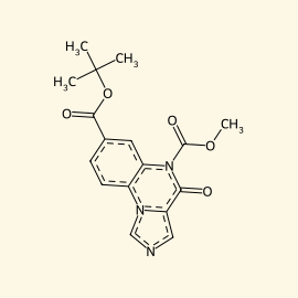 COC(=O)n1c(=O)c2cncn2c2ccc(C(=O)OC(C)(C)C)cc21